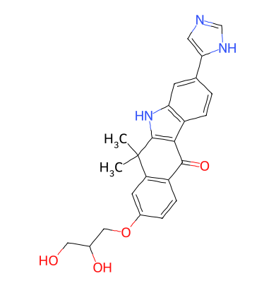 CC1(C)c2cc(OCC(O)CO)ccc2C(=O)c2c1[nH]c1cc(-c3cnc[nH]3)ccc21